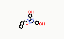 O=C(Cc1ccc2ccccc2c1)Nc1ncc(-c2ccc(O)cc2)nc1-c1ccc(O)cc1